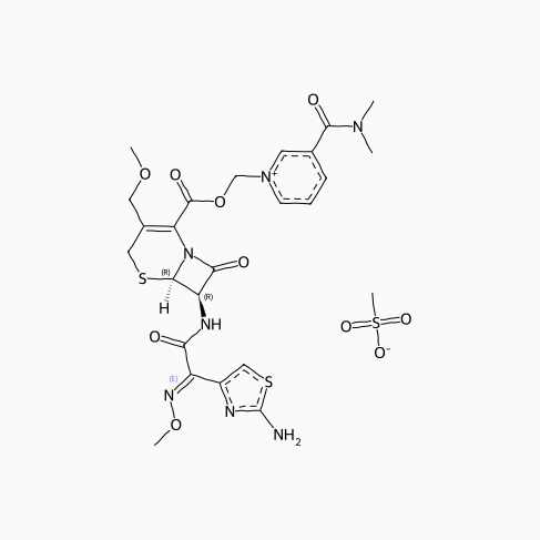 COCC1=C(C(=O)OC[n+]2cccc(C(=O)N(C)C)c2)N2C(=O)[C@@H](NC(=O)/C(=N/OC)c3csc(N)n3)[C@H]2SC1.CS(=O)(=O)[O-]